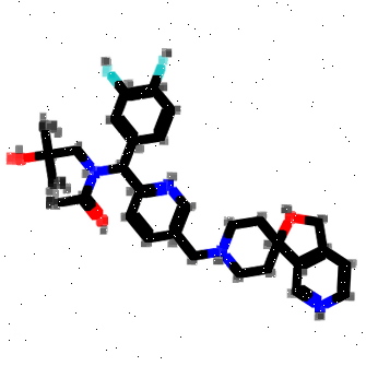 CCC(=O)N(CC(C)(C)O)C(c1ccc(F)c(F)c1)c1ccc(CN2CCC3(CC2)OCc2ccncc23)cn1